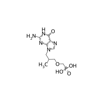 CC(COCP(=O)(O)O)Cn1cnc2c(=O)[nH]c(N)nc21